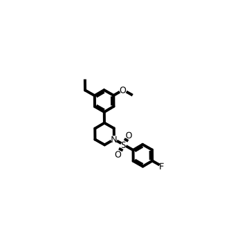 CCc1cc(OC)cc(C2CCCN(S(=O)(=O)c3ccc(F)cc3)C2)c1